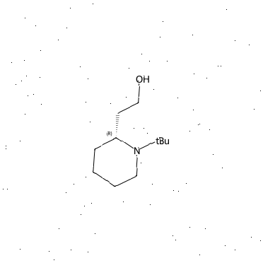 CC(C)(C)N1CCCC[C@@H]1CCO